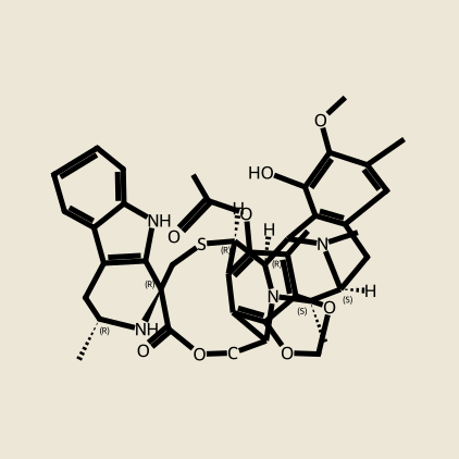 COc1c(C)cc2c(c1O)C1[C@@H]3[C@@H]4SC[C@]5(N[C@H](C)Cc6c5[nH]c5ccccc65)C(=O)OCC(c5c6c(c(C)c(OC(C)=O)c54)OCO6)N3[C@@H](C)[C@H](C2)N1C